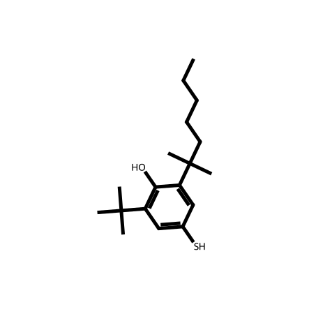 CCCCCC(C)(C)c1cc(S)cc(C(C)(C)C)c1O